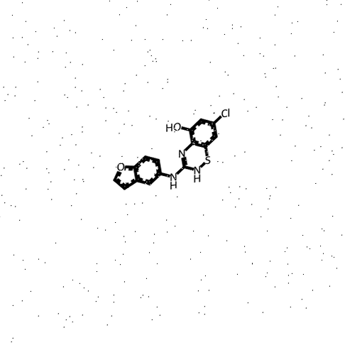 Oc1cc(Cl)cc2c1N=C(Nc1ccc3occc3c1)NS2